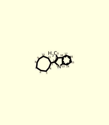 CC1=C(C2CCCCCCCC2)[N]c2ccccc21